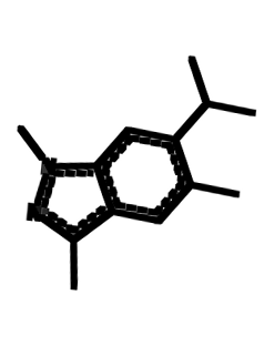 Cc1cc2c(C)nn(C)c2cc1C(C)C